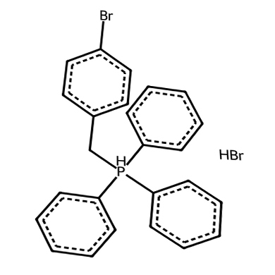 Br.Brc1ccc(C[PH](c2ccccc2)(c2ccccc2)c2ccccc2)cc1